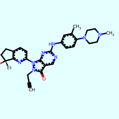 C#CCn1c(=O)c2cnc(Nc3ccc(N4CCN(C)CC4)c(C)c3)nc2n1-c1ccc2c(n1)[C@@](O)(CC)CC2